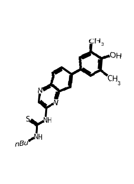 CCCCNC(=S)Nc1cnc2ccc(-c3cc(C)c(O)c(C)c3)cc2n1